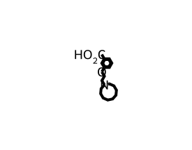 O=C(O)c1cccc(OCCN2CCCCCCCCC2)c1